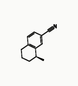 C[C@H]1CCCc2ccc(C#N)cc21